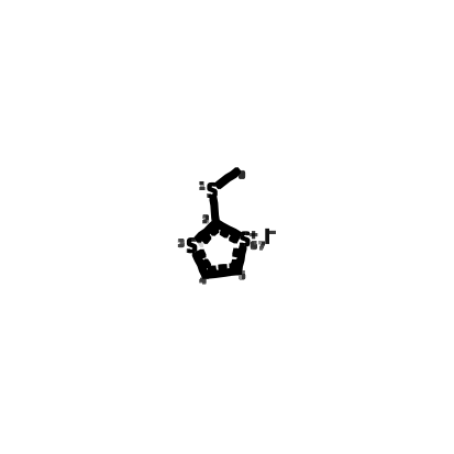 CSc1scc[s+]1.[I-]